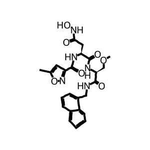 COC[C@H](NC(=O)[C@H](CC(=O)NO)NC(=O)c1cc(C)on1)C(=O)NCc1cccc2ccccc12